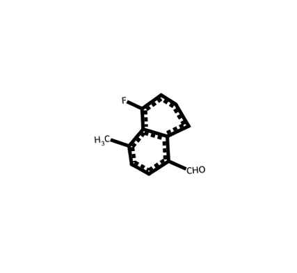 Cc1ccc(C=O)c2cccc(F)c12